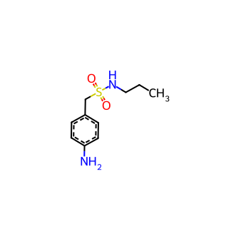 CCCNS(=O)(=O)Cc1ccc(N)cc1